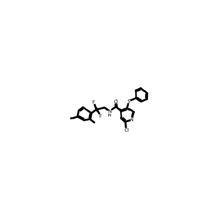 Cc1ccc(C(F)(F)CNC(=O)c2cc(Cl)ncc2Sc2ccccc2)c(C)c1